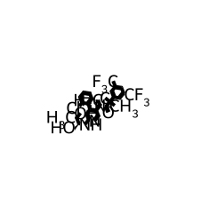 C[C@@H](O)[C@H](CO)Nc1cc(-c2ccccc2Cl)c(N(C)C(=O)C(C)(C)c2cc(C(F)(F)F)cc(C(F)(F)F)c2)cn1